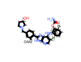 COc1cc(CN2CC[C@H](O)C2)ccc1-c1nc2c(N[C@H]3[C@@H](OC(N)=O)[C@@H]4C=C[C@H]3C4)c(Cl)cnc2[nH]1